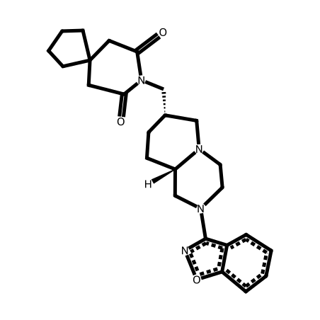 O=C1CC2(CCCC2)CC(=O)N1C[C@H]1CC[C@H]2CN(c3noc4ccccc34)CCN2C1